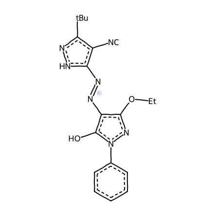 [C-]#[N+]c1c(C(C)(C)C)n[nH]c1/N=N/c1c(OCC)nn(-c2ccccc2)c1O